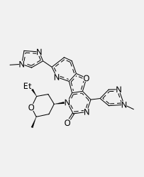 CC[C@H]1C[C@@H](n2c(=O)nc(-c3cnn(C)c3)c3oc4ccc(-c5cn(C)cn5)nc4c32)C[C@@H](C)O1